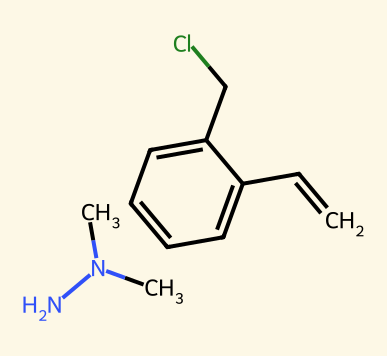 C=Cc1ccccc1CCl.CN(C)N